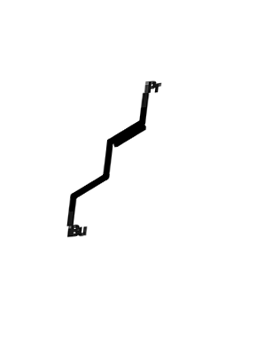 [CH2]CC(C)CCC=CC(C)C